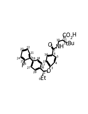 CC[C@H](Oc1ccc(C(=O)NC[C@H](C(=O)O)C(C)(C)C)cc1)c1ccc(-c2ccccc2F)cc1